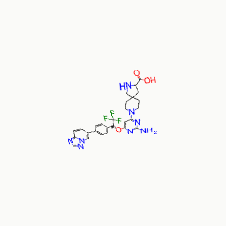 Nc1nc(O[C@H](c2ccc(-c3ccc4ncnn4c3)cc2)C(F)(F)F)cc(N2CCC3(CC2)CNC(C(=O)O)C3)n1